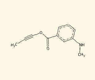 CC#COC(=O)c1cccc(NC)c1